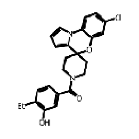 CCc1ccc(C(=O)N2CCC3(CC2)Oc2cc(Cl)ccc2-n2cccc23)cc1O